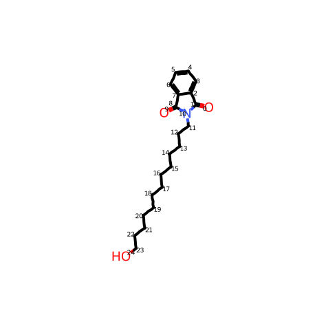 O=C1c2ccccc2C(=O)N1CCCCCCCCCCCCCO